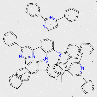 Cc1ccc2c(c1)c1cc(C)ccc1n2-c1cc(-c2cc(-c3ccccc3)nc(-c3ccccc3)n2)cc(-c2cc(-c3ccccc3)nc(-c3ccccc3)n2)c1-n1c2ccc(-c3ccccc3)cc2c2ccc(-c3cc(-c4ccccc4)nc(-c4ccccc4)c3)cc21